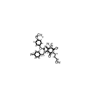 COc1ccc(Oc2nc3c(c(=O)n(CCCO)c(=O)n3C)n2Cc2ccc(F)cc2)cc1